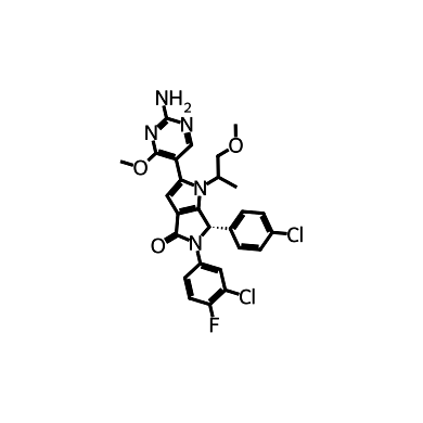 COCC(C)n1c(-c2cnc(N)nc2OC)cc2c1[C@H](c1ccc(Cl)cc1)N(c1ccc(F)c(Cl)c1)C2=O